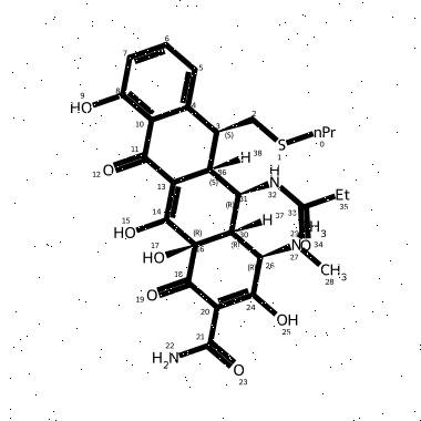 CCCSC[C@@H]1c2cccc(O)c2C(=O)C2=C(O)[C@@]3(O)C(=O)C(C(N)=O)=C(O)[C@H](N(C)C)[C@H]3[C@H](NC(=O)CC)[C@H]21